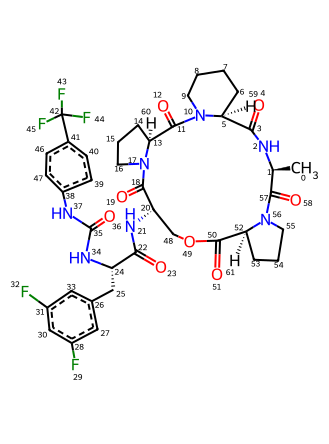 C[C@@H]1NC(=O)[C@@H]2CCCCN2C(=O)[C@@H]2CCCN2C(=O)[C@@H](NC(=O)[C@H](Cc2cc(F)cc(F)c2)NC(=O)Nc2ccc(C(F)(F)F)cc2)COC(=O)[C@@H]2CCCN2C1=O